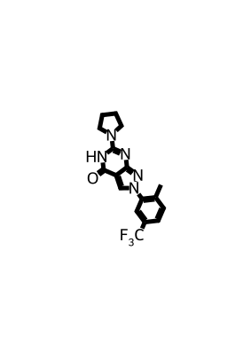 Cc1ccc(C(F)(F)F)cc1-n1cc2c(=O)[nH]c(N3CCCC3)nc2n1